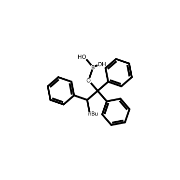 CCCCC(c1ccccc1)C(OB(O)O)(c1ccccc1)c1ccccc1